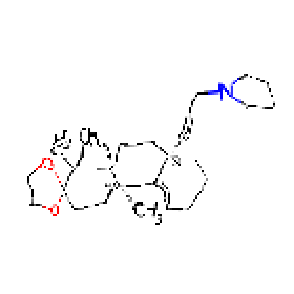 CC1(C)C2CC[C@@]3(C#CCN4CCCC4)CCCC=C3[C@@]2(C)CCC12OCCO2